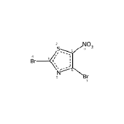 O=[N+]([O-])c1sc(Br)nc1Br